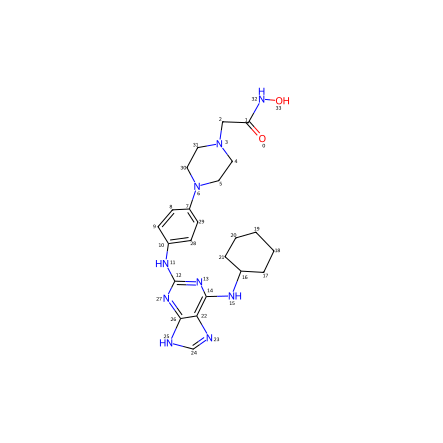 O=C(CN1CCN(c2ccc(Nc3nc(NC4CCCCC4)c4nc[nH]c4n3)cc2)CC1)NO